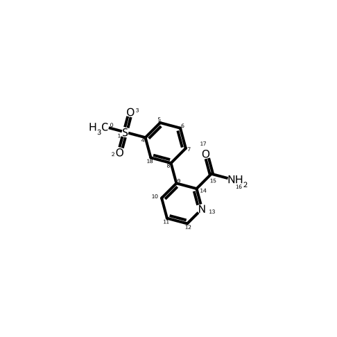 CS(=O)(=O)c1cccc(-c2cccnc2C(N)=O)c1